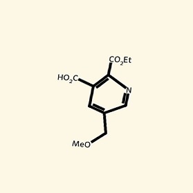 CCOC(=O)c1ncc(COC)cc1C(=O)O